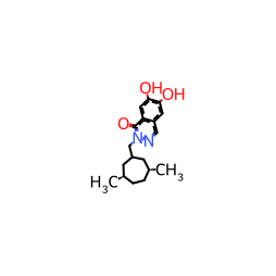 C[C@@H]1CC[C@H](C)CC(Cn2ncc3cc(O)c(O)cc3c2=O)C1